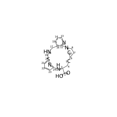 O=C(O)C1CCC2CCN(C2)c2ncccc2CNCS2=CC=CC(=N2)N1